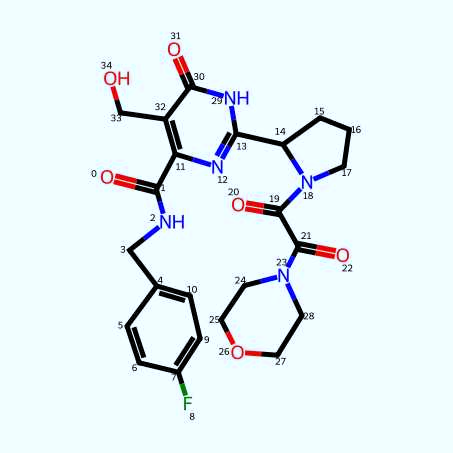 O=C(NCc1ccc(F)cc1)c1nc(C2CCCN2C(=O)C(=O)N2CCOCC2)[nH]c(=O)c1CO